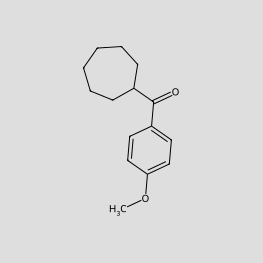 COc1ccc(C(=O)C2CCCCCC2)cc1